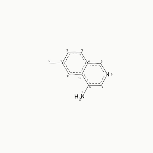 Cc1ccc2cncc(N)c2c1